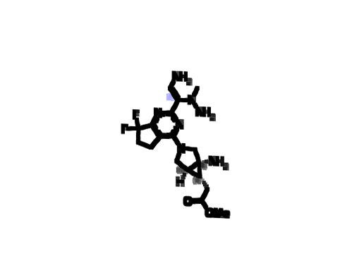 COC(=O)C[C@@H]1[C@H]2CN(c3nc(/C(=C/N)N(C)N)nc4c3CCC4(F)F)C[C@@]12N